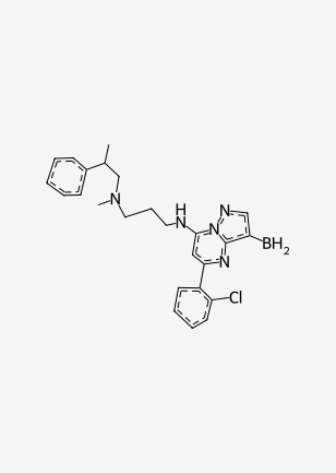 Bc1cnn2c(NCCCN(C)CC(C)c3ccccc3)cc(-c3ccccc3Cl)nc12